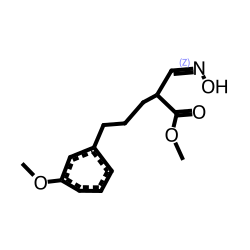 COC(=O)C(/C=N\O)CCCc1cccc(OC)c1